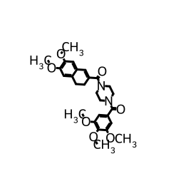 COc1cc2c(cc1OC)CCC(C(=O)N1CCN(C(=O)c3cc(OC)c(OC)c(OC)c3)CC1)=C2